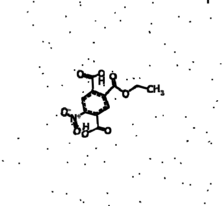 CCOC(=O)c1cc(C(=O)O)c([N+](=O)[O-])cc1C(=O)O